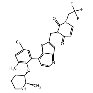 Cc1cc(Cl)cc(-c2ccnc3cc(Cn4c(=O)ccn(CC(F)(F)F)c4=O)sc23)c1O[C@@H]1CCCN[C@@H]1C